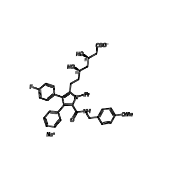 COc1ccc(CNC(=O)c2c(-c3ccccc3)c(-c3ccc(F)cc3)c(CC[C@@H](O)C[C@@H](O)CC(=O)[O-])n2C(C)C)cc1.[Na+]